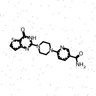 NC(=O)c1ccc(N2CCN(c3nc4ccsc4c(=O)[nH]3)CC2)nc1